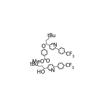 CC(C)(C)CCC(O)c1ccc(-c2ccc(C(F)(F)F)cc2)nc1.COC(=O)c1ccc(OC(CCC(C)(C)C)c2ccc(-c3ccc(C(F)(F)F)cc3)nc2)cc1